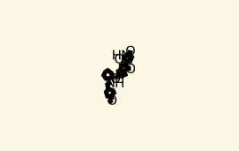 COC1CCC(CN[C@@H]2CCCCC[C@H]2Oc2ccc3c(c2)CN(C2CCC(=O)NC2=O)C3=O)CC1